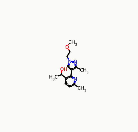 COCCn1cc(-c2nc(C)ccc2C(C)O)c(C)n1